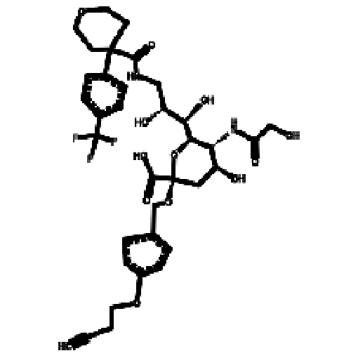 C#CCCOc1ccc(CO[C@]2(C(=O)O)C[C@H](O)[C@@H](NC(=O)CO)[C@H]([C@H](O)[C@H](O)CNC(=O)C3(c4ccc(C(F)(F)F)cc4)CCOCC3)O2)cc1